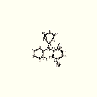 Cc1ccccc1N(c1ccccn1)c1cc(Br)ccc1C